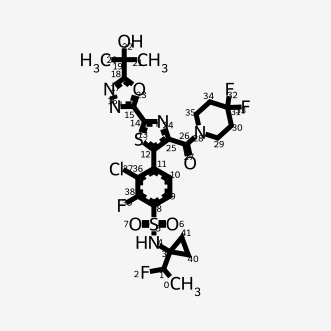 CC(F)C1(NS(=O)(=O)c2ccc(-c3sc(-c4nnc(C(C)(C)O)o4)nc3C(=O)N3CCC(F)(F)CC3)c(Cl)c2F)CC1